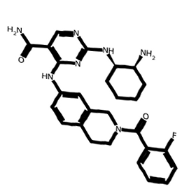 NC(=O)c1cnc(N[C@@H]2CCCC[C@@H]2N)nc1Nc1ccc2c(c1)CN(C(=O)c1ccccc1F)CC2